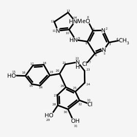 COc1nc(C)nc(Cl)c1NC1=NCCN1.Oc1ccc(C2CNCCc3c2cc(O)c(O)c3Cl)cc1